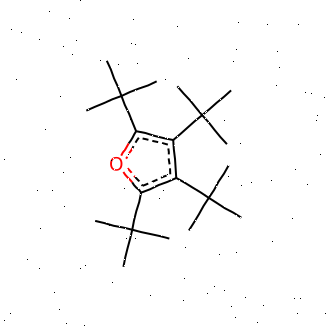 CC(C)(C)c1oc(C(C)(C)C)c(C(C)(C)C)c1C(C)(C)C